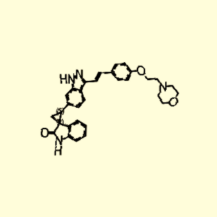 O=C1Nc2ccccc2[C@]12C[C@H]2c1ccc2c(C=Cc3ccc(OCCN4CCOCC4)cc3)n[nH]c2c1